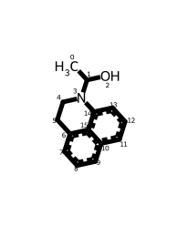 CC(O)N1CCc2cccc3cccc1c23